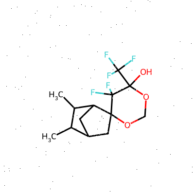 CC1C2CC(C1C)C1(C2)OCOC(O)(C(F)(F)F)C1(F)F